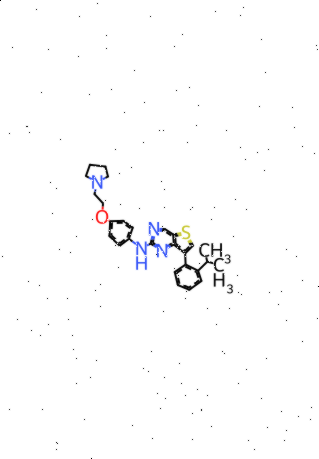 CC(C)c1ccccc1-c1csc2cnc(Nc3ccc(OCCN4CCCC4)cc3)nc12